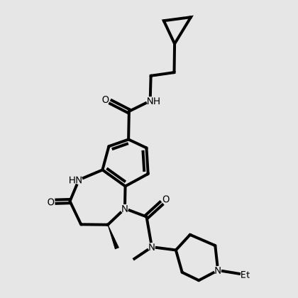 CCN1CCC(N(C)C(=O)N2c3ccc(C(=O)NCCC4CC4)cc3NC(=O)C[C@@H]2C)CC1